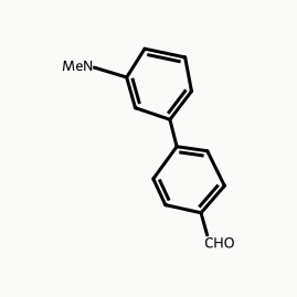 CNc1cccc(-c2ccc(C=O)cc2)c1